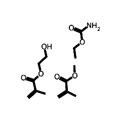 C=C(C)C(=O)OC.C=C(C)C(=O)OCCO.CCOC(N)=O